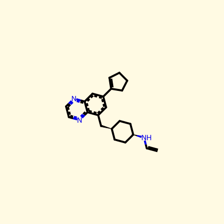 C=CN[C@H]1CC[C@@H](Cc2cc(C3=CCCC3)cc3nccnc23)CC1